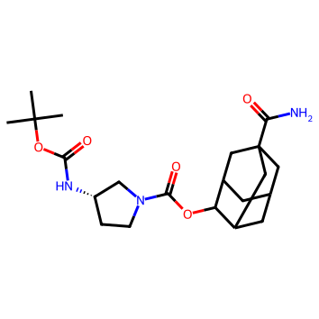 CC(C)(C)OC(=O)N[C@H]1CCN(C(=O)OC2C3CC4CC2CC(C(N)=O)(C4)C3)C1